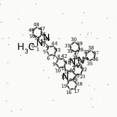 CCn1c(-c2ccc(-c3ccc(-c4nc5ccccc5c5ccc6c(nc(-c7ccccc7)n6-c6ccccc6)c45)cc3)cc2)nc2ccccc21